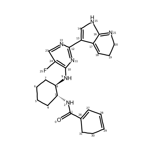 O=C(N[C@@H]1CCCC[C@H]1Nc1nc(-c2c[nH]c3c2=CCCN=3)ncc1F)C1=CC=CCC1